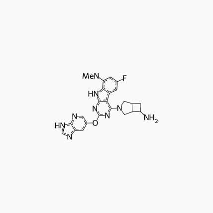 CNc1cc(F)cc2c1[nH]c1nc(Oc3cnc4[nH]cnc4c3)nc(N3CC4CC(N)C4C3)c12